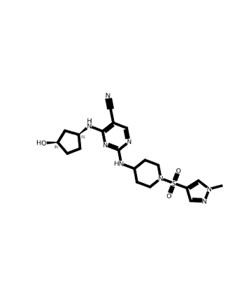 Cn1cc(S(=O)(=O)N2CCC(Nc3ncc(C#N)c(N[C@H]4CC[C@@H](O)C4)n3)CC2)cn1